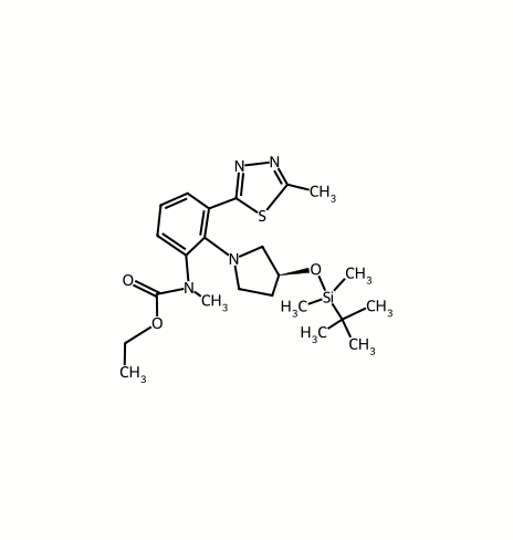 CCOC(=O)N(C)c1cccc(-c2nnc(C)s2)c1N1CC[C@H](O[Si](C)(C)C(C)(C)C)C1